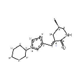 C[C@H]1CNC(=O)/C(=C/c2cn(C3CCCCC3)cn2)C1